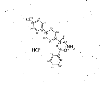 Cl.NC1CC1(CC(=O)c1ccccc1)N1CCC(c2ccc(Cl)cc2)CC1